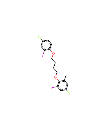 Cc1cc(F)cc(I)c1OCCCCOc1ccc(F)cc1I